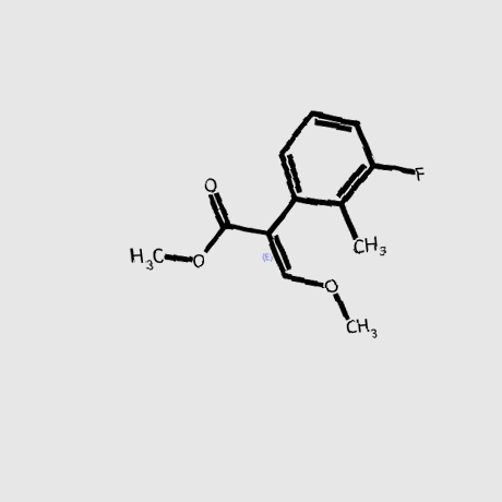 CO/C=C(/C(=O)OC)c1cccc(F)c1C